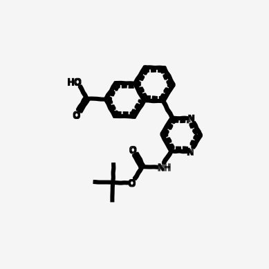 CC(C)(C)OC(=O)Nc1cc(-c2cccc3cc(C(=O)O)ccc23)ncn1